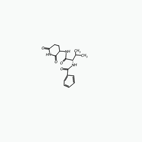 CC(C)[C@H](NC(=O)c1ccccc1)C(=O)NC1CCC(=O)NC1=O